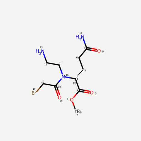 CC(C)(C)OC(=O)[C@@H](CCC(N)=O)N(CCN)C(=O)CBr